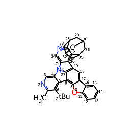 Cc1ncc2c(c1C(C)(C)C)c1c3oc4ccccc4c3cc3c4c5c(ncc4n2c31)C1CC2CC(C1)CC5C2